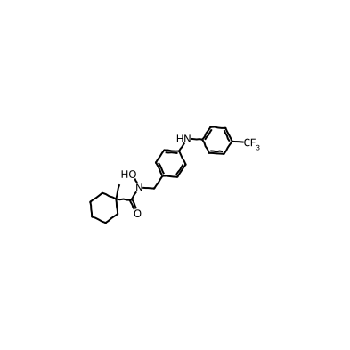 CC1(C(=O)N(O)Cc2ccc(Nc3ccc(C(F)(F)F)cc3)cc2)CCCCC1